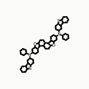 c1ccc(N(c2ccc3c(c2)oc2ccc4c(ccc5oc6cc(N(c7ccccc7)c7ccc8sc9ccccc9c8c7)ccc6c54)c23)c2ccc3sc4ccccc4c3c2)cc1